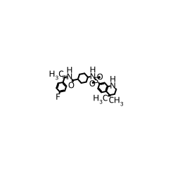 C[C@@H](NC(=O)C1CCC(NS(=O)(=O)c2ccc3c(c2)NCCC3(C)C)CC1)c1ccc(F)cc1